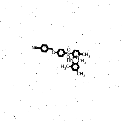 Cc1cc(C)c(Nc2nc(C)ccc2S(=O)(=O)c2ccc(OCc3ccc(C#N)cc3)cc2)c(C)c1